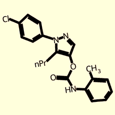 CCCc1c(OC(=O)Nc2ccccc2C)cnn1-c1ccc(Cl)cc1